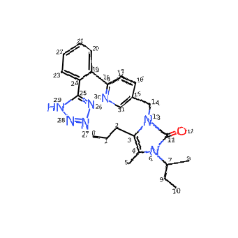 CCCc1c(C)n(C(C)CC)c(=O)n1Cc1ccc(-c2ccccc2-c2nnn[nH]2)nc1